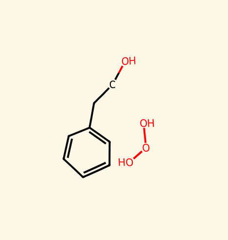 OCCc1ccccc1.OOO